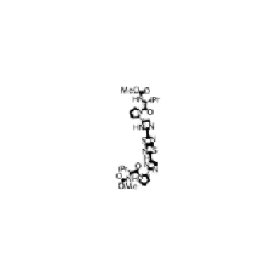 COC(=O)N[C@H](C(=O)N1CCCC1[C@@H]1CN=C(c2nc3sc(-c4cnc([C@@H]5CCCN5C(=O)[C@@H](NC(=O)OC)C(C)C)[nH]4)nc3s2)N1)C(C)C